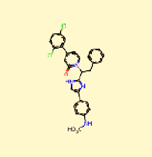 O=C(O)Nc1ccc(-c2c[nH]c(C(Cc3ccccc3)n3ccc(-c4cc(Cl)ccc4Cl)cc3=O)n2)cc1